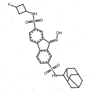 O=S(=O)(NC1CC(F)C1)c1ccc2c(c1)/C(=N\O)c1cc(S(=O)(=O)NC3C4CC5CC(C4)CC3C5)ccc1-2